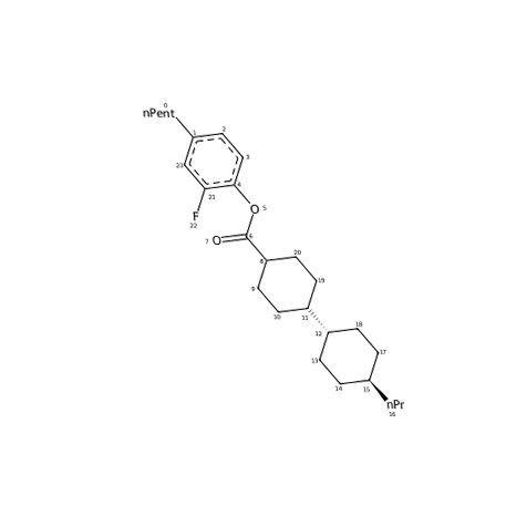 CCCCCc1ccc(OC(=O)C2CCC([C@H]3CC[C@H](CCC)CC3)CC2)c(F)c1